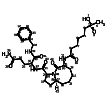 CP(=O)(O)CCCCCC(=O)N[C@H]1CCCC[C@H]2CC[C@@H](C(=O)N[C@@H](CCC(N)=O)C(=O)NCc3ccccc3)N2C1=O